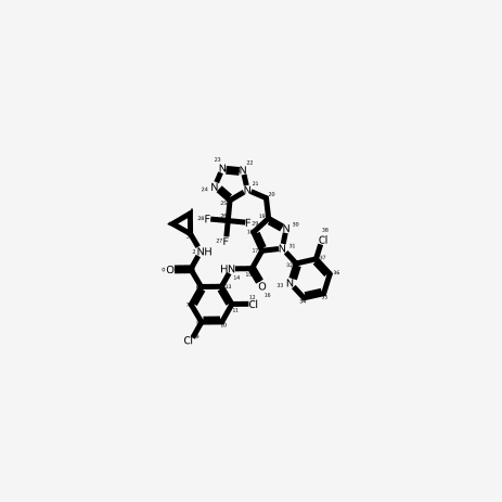 O=C(NC1CC1)c1cc(Cl)cc(Cl)c1NC(=O)c1cc(Cn2nnnc2C(F)(F)F)nn1-c1ncccc1Cl